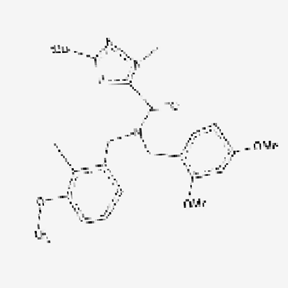 COc1ccc(CN(Cc2cccc(OC(F)(F)F)c2C)C(=O)c2cc(C(C)(C)C)nn2C)c(OC)c1